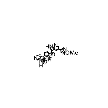 COc1ncc(-c2cnc3[nH]cc(C(=O)c4cccc(NS(=O)(=O)Nc5cncs5)c4F)c3c2)cn1